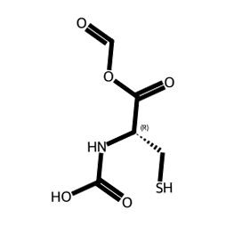 O=COC(=O)[C@H](CS)NC(=O)O